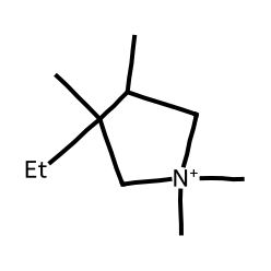 CCC1(C)C[N+](C)(C)CC1C